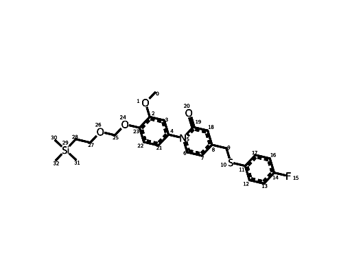 COc1cc(-n2ccc(CSc3ccc(F)cc3)cc2=O)ccc1OCOCC[Si](C)(C)C